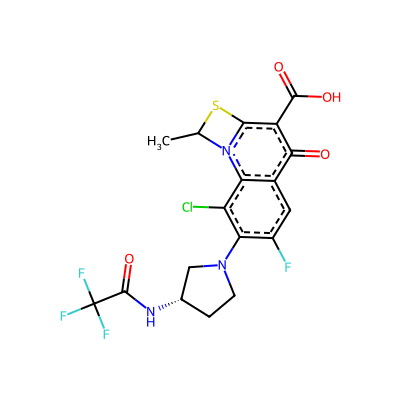 CC1Sc2c(C(=O)O)c(=O)c3cc(F)c(N4CC[C@H](NC(=O)C(F)(F)F)C4)c(Cl)c3n21